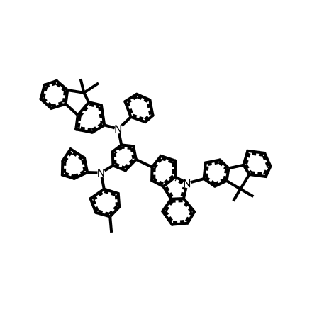 Cc1ccc(N(c2ccccc2)c2cc(-c3ccc4c(c3)c3ccccc3n4-c3ccc4c(c3)C(C)(C)c3ccccc3-4)cc(N(c3ccccc3)c3ccc4c(c3)C(C)(C)c3ccccc3-4)c2)cc1